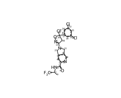 CC(NC(=O)c1cc2c(cn1)CN(C1=NOC(c3cc(Cl)cc(Cl)c3)(C(F)(F)F)C1)C2)C(F)(F)F